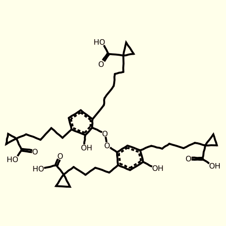 O=C(O)C1(CCCCCc2cc(OOc3c(CCCCCC4(C(=O)O)CC4)ccc(CCCCC4(C(=O)O)CC4)c3O)c(CCCCC3(C(=O)O)CC3)cc2O)CC1